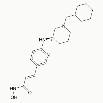 O=C(C=Cc1ccc(N[C@@H]2CCCN(CC3CCCCC3)C2)nc1)NO